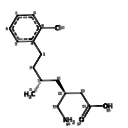 C[C@H](CCc1ccccc1Cl)C[C@H](CN)CC(=O)O